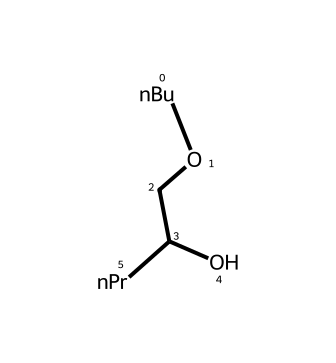 CCCCOCC(O)CCC